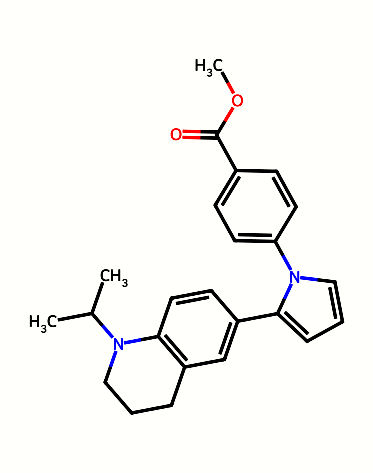 COC(=O)c1ccc(-n2cccc2-c2ccc3c(c2)CCCN3C(C)C)cc1